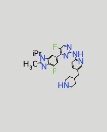 Cc1nc2c(F)cc(-c3nc(Nc4ccc(CC5CCNCC5)cn4)ncc3F)cc2n1C(C)C